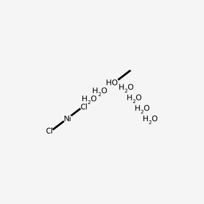 CO.O.O.O.O.O.O.[Cl][Ni][Cl]